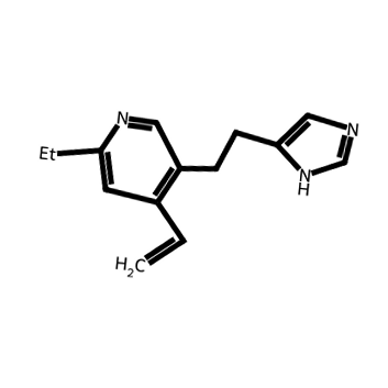 C=Cc1cc(CC)ncc1CCc1cnc[nH]1